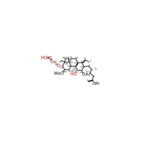 C=C(CC[C@@H](C)[C@H]1CC=C2C3=C([C@@H](O)[C@H](OC(C)=O)[C@@]21C)[C@@]1(C)C[C@@H](OC)[C@H](OSOOO)C(C)(C)[C@@H]1CC3)C(C)C